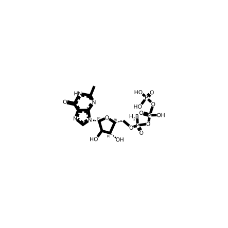 BP(=O)(OC[C@H]1O[C@@H](n2cnc3c(=O)[nH]c(C)nc32)C(O)[C@H]1O)OP(=O)(O)OP(=O)(O)O